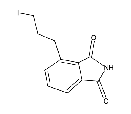 O=C1NC(=O)c2c(CCCI)cccc21